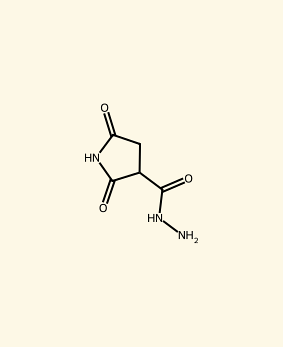 NNC(=O)C1CC(=O)NC1=O